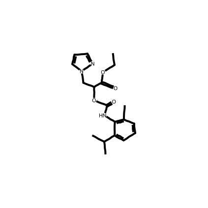 CCOC(=O)C(Cn1cccn1)OC(=O)Nc1c(C)cccc1C(C)C